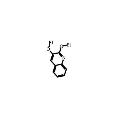 CCOc1cc2ccccc2nc1OCC